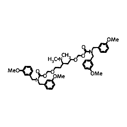 COc1cccc(CN(Cc2cccc(OC)c2)C(=O)OCOCCC(CCOCOC(=O)N(Cc2cccc(OC)c2)Cc2cccc(OC)c2)N(C)C)c1